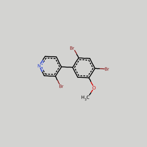 COc1cc(-c2ccncc2Br)c(Br)cc1Br